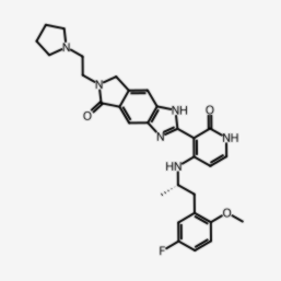 COc1ccc(F)cc1C[C@H](C)Nc1cc[nH]c(=O)c1-c1nc2cc3c(cc2[nH]1)CN(CCN1CCCC1)C3=O